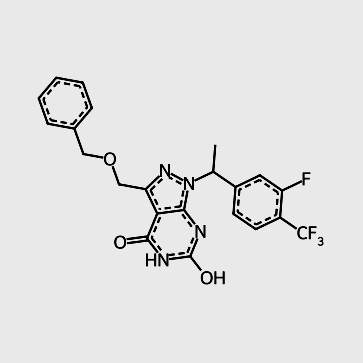 CC(c1ccc(C(F)(F)F)c(F)c1)n1nc(COCc2ccccc2)c2c(=O)[nH]c(O)nc21